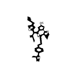 CCCc1coc(C(C(=O)C2C[C@H](O)C[C@H]2C2=NC=CC2CCCc2ccc(-c3sccc3C)cc2)C(C)C)c1